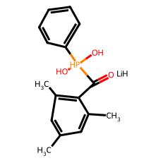 Cc1cc(C)c(C(=O)[PH](O)(O)c2ccccc2)c(C)c1.[LiH]